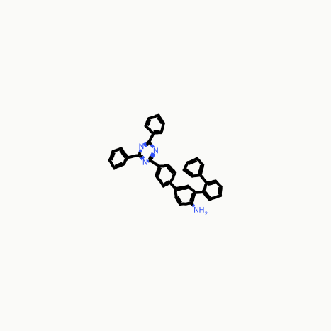 Nc1ccc(-c2ccc(-c3nc(-c4ccccc4)nc(-c4ccccc4)n3)cc2)cc1-c1ccccc1-c1ccccc1